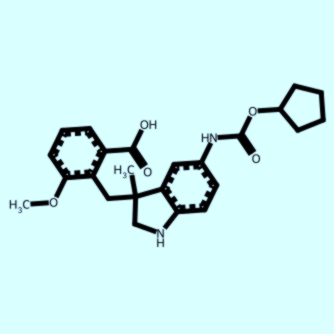 COc1cccc(C(=O)O)c1CC1(C)CNc2ccc(NC(=O)OC3CCCC3)cc21